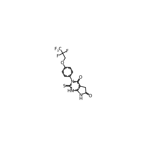 O=C1Cc2c([nH]c(=S)n(-c3ccc(OCC(F)(F)C(F)(F)F)cc3)c2=O)N1